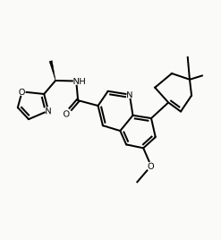 COc1cc(C2=CCC(C)(C)CC2)c2ncc(C(=O)N[C@H](C)c3ncco3)cc2c1